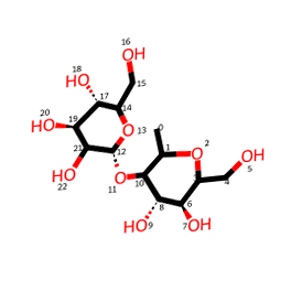 CC1OC(CO)[C@@H](O)[C@H](O)C1O[C@H]1OC(CO)[C@@H](O)[C@H](O)C1O